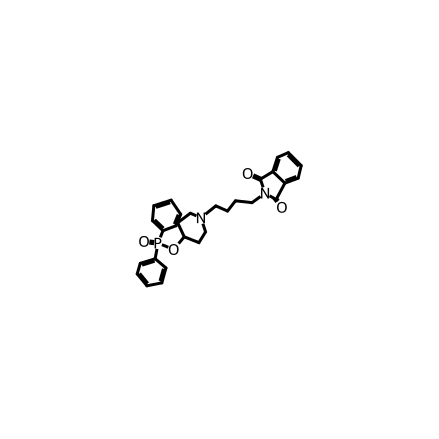 O=C1c2ccccc2C(=O)N1CCCCN1CCC(OP(=O)(c2ccccc2)c2ccccc2)CC1